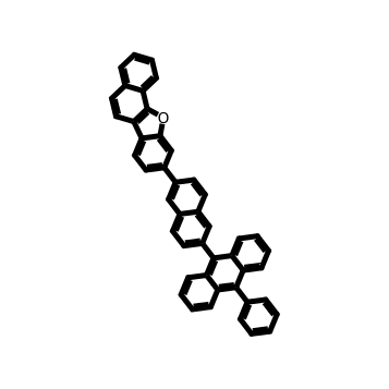 c1ccc(-c2c3ccccc3c(-c3ccc4cc(-c5ccc6c(c5)oc5c7ccccc7ccc65)ccc4c3)c3ccccc23)cc1